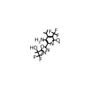 COc1nc(-c2nnc(C(C)(O)C(F)(F)F)o2)c(N)c(C(C)C)c1C(F)(F)F